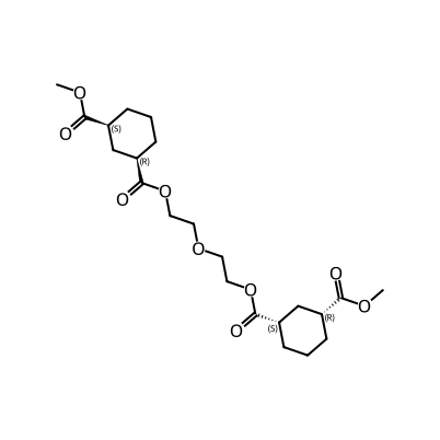 COC(=O)[C@@H]1CCC[C@H](C(=O)OCCOCCOC(=O)[C@@H]2CCC[C@H](C(=O)OC)C2)C1